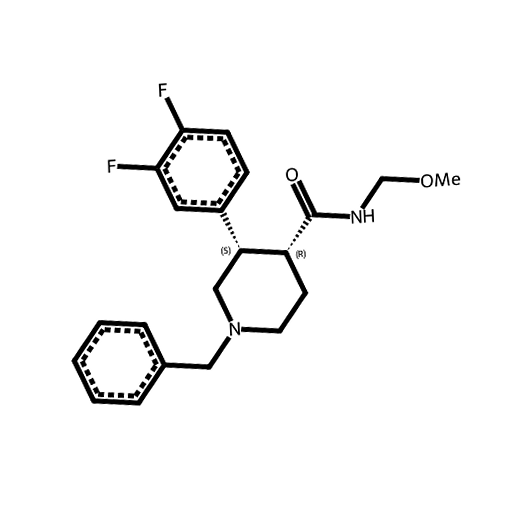 COCNC(=O)[C@@H]1CCN(Cc2ccccc2)C[C@@H]1c1ccc(F)c(F)c1